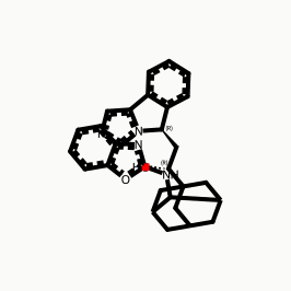 O[C@H](C[C@@H]1c2ccccc2-c2cncn21)C12CC3CC(C1)C(Nc1nc4ccccc4o1)C(C3)C2